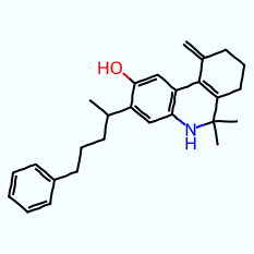 C=C1CCCC2=C1c1cc(O)c(C(C)CCCc3ccccc3)cc1NC2(C)C